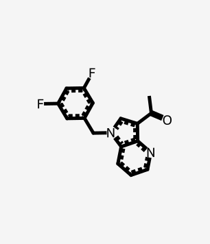 CC(=O)c1cn(Cc2cc(F)cc(F)c2)c2cccnc12